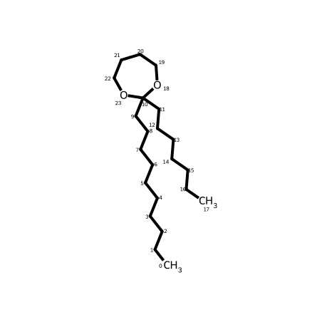 CCCCCCCCCCC1(CCCCCCC)OCCCCO1